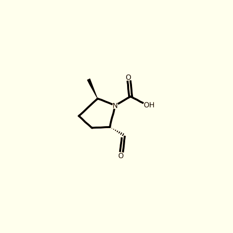 C[C@@H]1CC[C@@H](C=O)N1C(=O)O